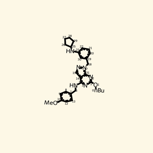 CCCCOc1nc(NCc2ccc(OC)cc2)c2cnn(Cc3cccc(NC4CCCC4)c3)c2n1